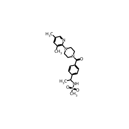 Cc1cnc(N2CCN(C(=O)c3ccc(C(C)NS(C)(=O)=O)cc3)CC2)c(C)c1